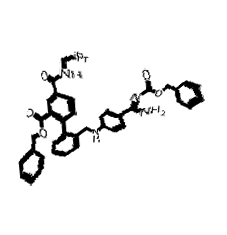 CC(C)CNC(=O)c1ccc(-c2ccccc2CNc2ccc(C(N)=NC(=O)OCc3ccccc3)cc2)c(C(=O)OCc2ccccc2)c1